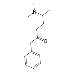 [CH2]C(CCC(=O)Cc1ccccc1)N(C)C